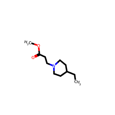 CCC1CCN(CCC(=O)OC)CC1